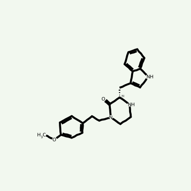 COc1ccc(CCN2CCN[C@@H](Cc3c[nH]c4ccccc34)C2=O)cc1